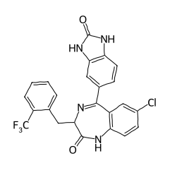 O=C1Nc2ccc(Cl)cc2C(c2ccc3[nH]c(=O)[nH]c3c2)=NC1Cc1ccccc1C(F)(F)F